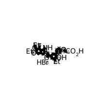 Br.CCOc1cc2c(c(F)c1OCC)C(=N)N(CC(=O)c1cc(CC)c(O)c(N3CCC(OCC(=O)O)C3)c1)C2